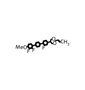 C/C=C/C1OCC(c2ccc(-c3ccc(-c4ccc(OC)c(F)c4F)cc3)c(F)c2)CO1